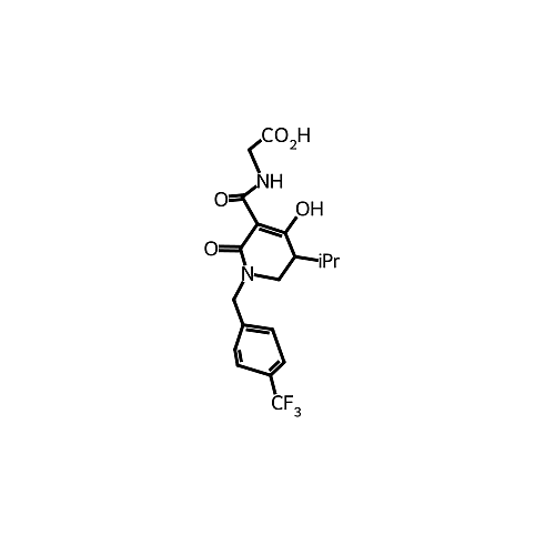 CC(C)C1CN(Cc2ccc(C(F)(F)F)cc2)C(=O)C(C(=O)NCC(=O)O)=C1O